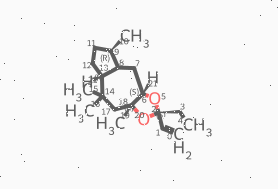 C=C[C@@]1(CC)O[C@H]2CC3[C@H](C)CC[C@H]3C(C)(C)C[C@@]2(C)O1